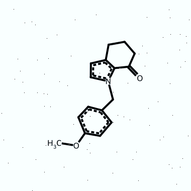 COc1ccc(Cn2ccc3c2C(=O)CCC3)cc1